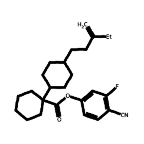 C=C(CC)CCC1CCC(C2(C(=O)Oc3ccc(C#N)c(F)c3)CCCCC2)CC1